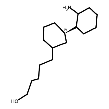 NC1CCCCC1[C@@H]1CCCC(CCCCCO)C1